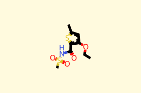 CCOc1cc(C)sc1C(=O)NS(C)(=O)=O